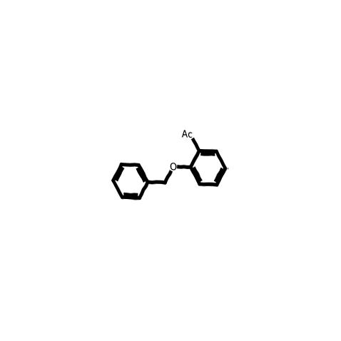 CC(=O)c1c[c]ccc1OCc1ccccc1